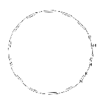 c1ccccccccccco[nH]nnnncccccccccc1